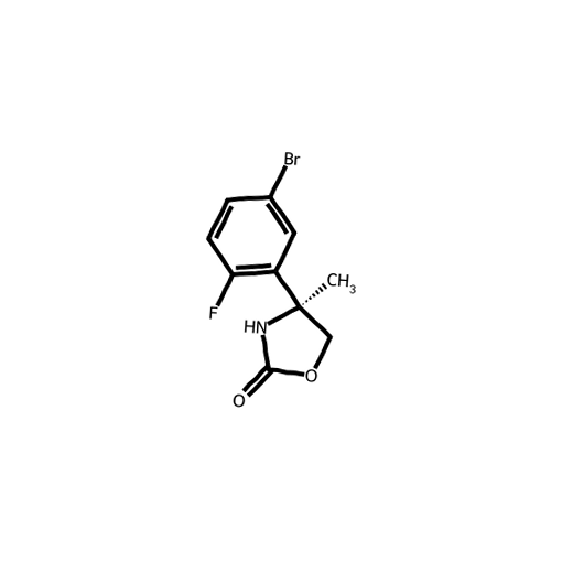 C[C@]1(c2cc(Br)ccc2F)COC(=O)N1